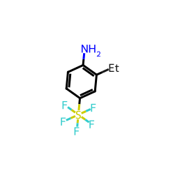 CCc1cc(S(F)(F)(F)(F)F)ccc1N